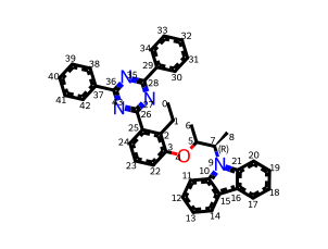 CCc1c(OC(C)[C@@H](C)n2c3ccccc3c3ccccc32)cccc1-c1nc(-c2ccccc2)nc(-c2ccccc2)n1